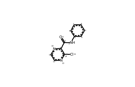 O=C(Nc1cc[c]cc1)c1nccnc1Cl